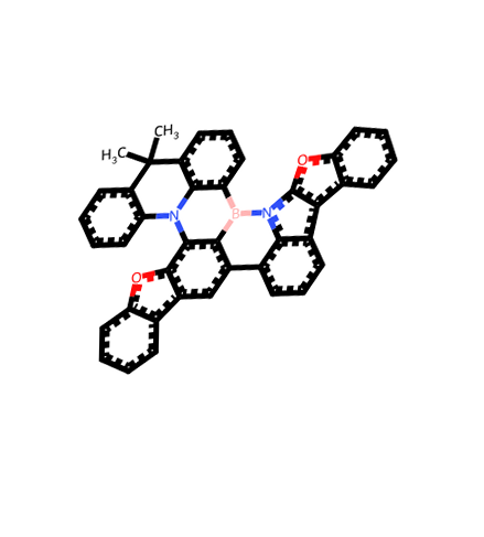 CC1(C)c2ccccc2N2c3c(cccc31)B1c3c(cc4c(oc5ccccc54)c32)-c2cccc3c4c5ccccc5oc4n1c23